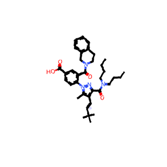 CCCCN(CCCC)C(=O)c1nn(-c2ccc(C(=O)O)cc2C(=O)N2CCc3ccccc3C2)c(C)c1/C=C/C(C)(C)C